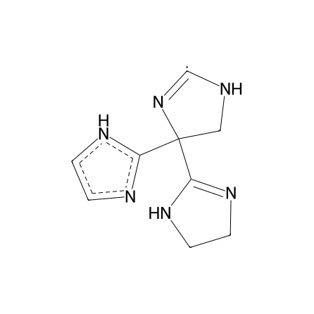 [C]1=NC(C2=NCCN2)(c2ncc[nH]2)CN1